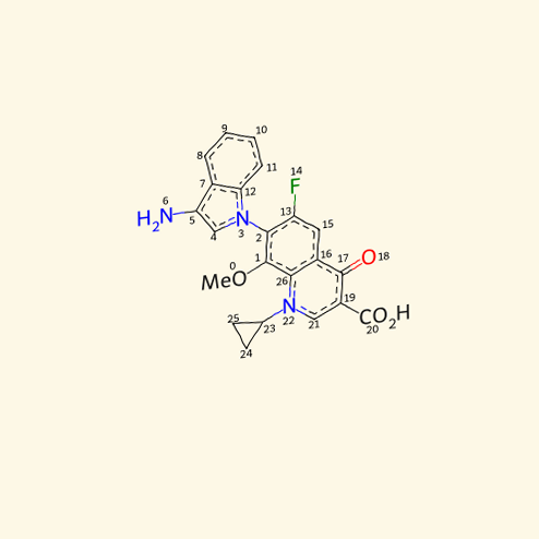 COc1c(-n2cc(N)c3ccccc32)c(F)cc2c(=O)c(C(=O)O)cn(C3CC3)c12